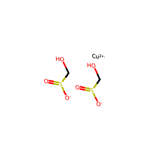 O=S([O-])CO.O=S([O-])CO.[Cu+2]